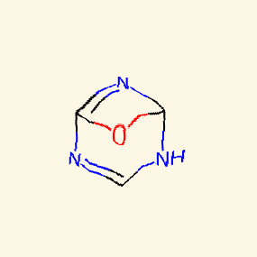 C1=NC2=NC(N1)O2